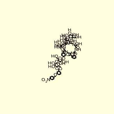 CC(c1ccccc1)C1NC(=O)CNC(=O)C(CO)NC(=O)C(C(O)C2CNC(=N)N2C2OC(CO)C(O)C(O)C2O)NC(=O)C(C(O)C2CNC(=N)N2)NC(=O)C(Cc2ccc(OC3OC(CO)C(OC4OC5COC(c6cccc(OCc7ccc([N+](=O)[O-])cc7)c6)OC5C(O)C4O)C(O)C3O)cc2)NC1=O